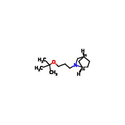 CC(C)(C)OCCCN1C[C@@H]2CC[C@H]1C2